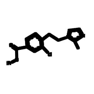 Cc1nccn1CCc1ccc(C(=O)OC(C)C)cc1Cl